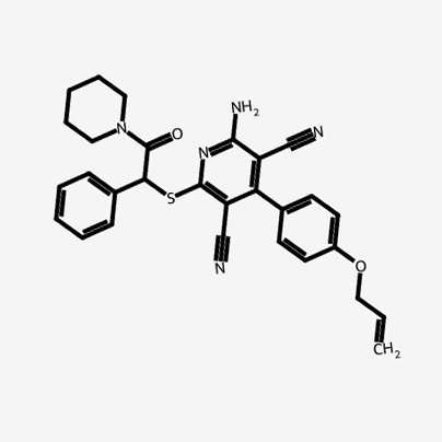 C=CCOc1ccc(-c2c(C#N)c(N)nc(SC(C(=O)N3CCCCC3)c3ccccc3)c2C#N)cc1